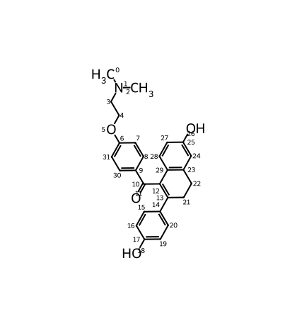 CN(C)CCOc1ccc(C(=O)C2=C(c3ccc(O)cc3)CCc3cc(O)ccc32)cc1